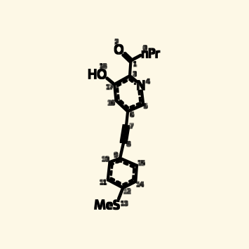 CCCC(=O)c1ncc(C#Cc2ccc(SC)cc2)cc1O